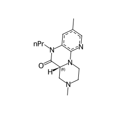 CCCN1C(=O)[C@H]2CN(C)CCN2c2ncc(C)cc21